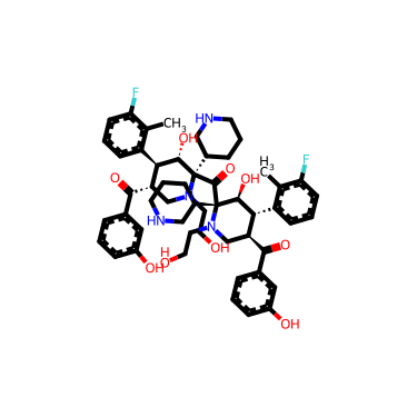 Cc1c(F)cccc1[C@@H]1[C@@H](C(=O)c2cccc(O)c2)CN(CCO)[C@@](C(=O)[C@]2(C3CCCNC3)[C@@H](O)[C@H](c3cccc(F)c3C)[C@@H](C(=O)c3cccc(O)c3)CN2CCO)(C2CCCNC2)[C@H]1O